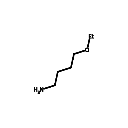 CCOCCCCN